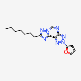 CCCCCCCc1nc2c3nn(-c4ccco4)nc3ncn2n1